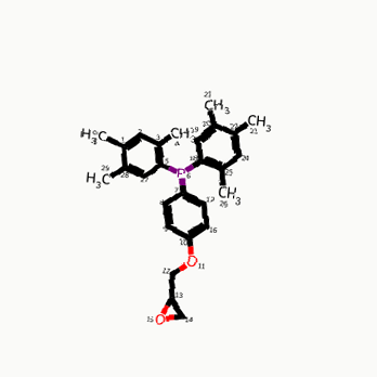 Cc1cc(C)c(P(c2ccc(OCC3CO3)cc2)c2cc(C)c(C)cc2C)cc1C